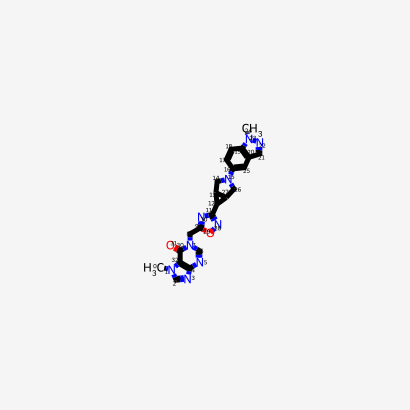 Cn1cnc2ncn(Cc3nc(C4C5CN(c6ccc7c(cnn7C)c6)CC54)no3)c(=O)c21